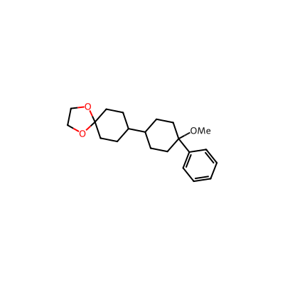 COC1(c2ccccc2)CCC(C2CCC3(CC2)OCCO3)CC1